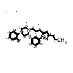 CCCc1cc(CCCN2CCN(c3ccccc3F)CC2)n(-c2ccccc2)n1